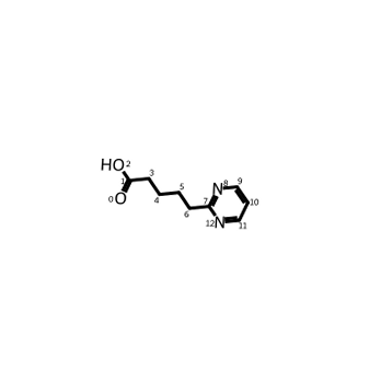 O=C(O)CCCCc1ncccn1